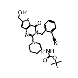 CC(C)(C)OC(=O)N[C@@H]1CCCN(c2nc3cc(CO)sc3c(=O)n2Cc2ccccc2C#N)C1